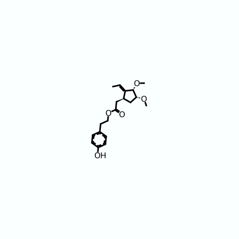 C/C=C1\[C@H](CC(=O)OCCc2ccc(O)cc2)C[C@@H](OC)[C@H]1OC